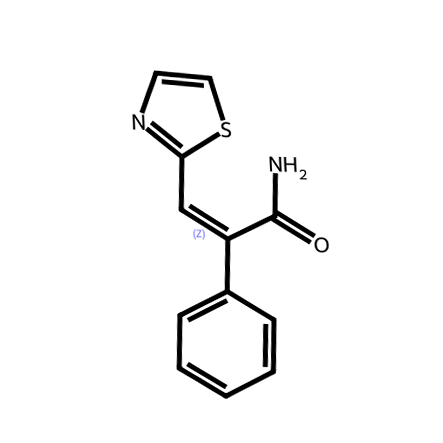 NC(=O)/C(=C\c1nccs1)c1ccccc1